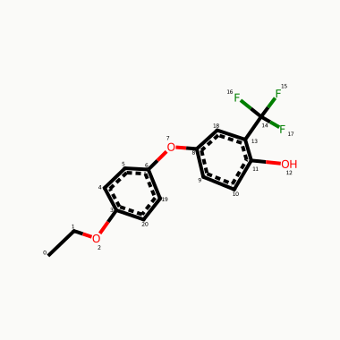 CCOc1ccc(Oc2ccc(O)c(C(F)(F)F)c2)cc1